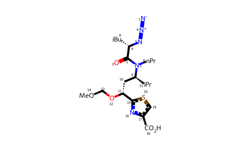 CCCN(C(=O)[C@@H](N=[N+]=[N-])C(C)CC)[C@H](C[C@@H](OCOC)c1nc(C(=O)O)cs1)C(C)C